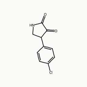 O=C1NCC(c2ccc(Cl)cc2)C1=O